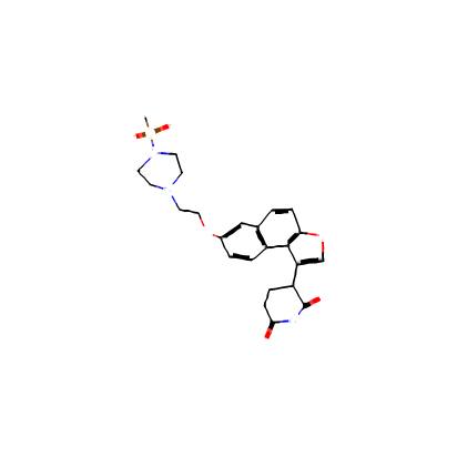 CS(=O)(=O)N1CCN(CCOc2ccc3c(ccc4occ(C5CCC(=O)NC5=O)c43)c2)CC1